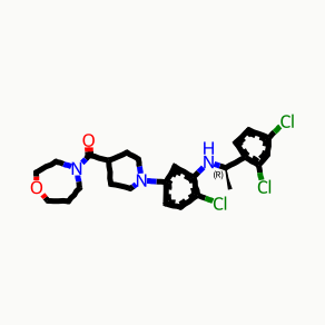 C[C@@H](Nc1cc(N2CCC(C(=O)N3CCCOCC3)CC2)ccc1Cl)c1ccc(Cl)cc1Cl